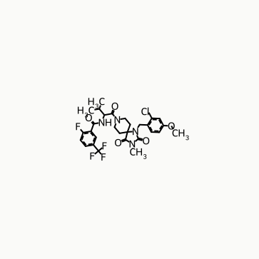 COc1ccc(CN2C(=O)N(C)C(=O)C23CCN(C(=O)C(NC(=O)c2cc(C(F)(F)F)ccc2F)C(C)C)CC3)c(Cl)c1